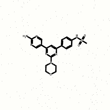 CS(=O)(=O)Nc1ccc(-c2cc(-c3cnc(N)nc3)nc(N3CCOCC3)n2)cc1